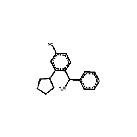 N#Cc1ccc(C(N)c2ccccc2)c(N2CCCC2)c1